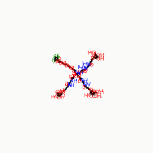 O=C(CCCCO[C@H]1C[C@@H](O)[C@@H](O)[C@@H](CO)O1)NCCCNC(=O)CCOCC(COCCC(=O)NCCCNC(=O)CCCCO[C@H]1C[C@@H](O)[C@@H](O)[C@@H](CO)O1)(COCCC(=O)NCCCNC(=O)CCCCO[C@H]1C[C@@H](O)[C@@H](O)[C@@H](CO)O1)NC(=O)CCOCCOCCOCCOCCC(=O)Oc1c(F)c(F)c(F)c(F)c1F